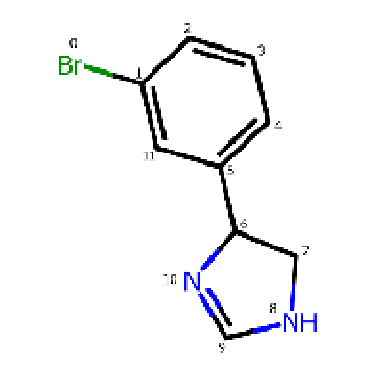 Brc1cccc(C2CNC=N2)c1